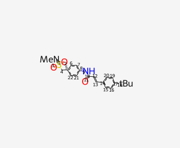 CNS(=O)(=O)Cc1ccc(NC(=O)/C=C/c2ccc(C(C)(C)C)cc2)cc1